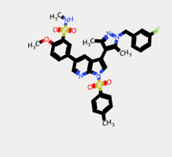 CNS(=O)(=O)c1cc(-c2cnc3c(c2)c(-c2c(C)nn(Cc4cccc(F)c4)c2C)cn3S(=O)(=O)c2ccc(C)cc2)ccc1OC